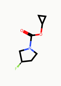 O=C(OC1CC1)N1CC[C@@H](F)C1